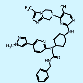 Cn1cc(-c2ccc(N(C(=O)NCc3ccccc3)C3CCC(Nc4ncc(C#N)c(N5CCn6c(nnc6C(F)(F)F)C5)n4)CC3)nc2)cn1